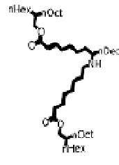 CCCCCCCCCCC(CCCCC=CC(=O)OCC(CCCCCC)CCCCCCCC)NCCCCCCCC(=O)OCC(CCCCCC)CCCCCCCC